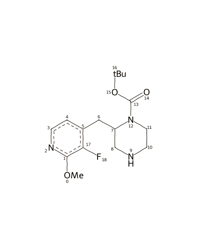 COc1nccc(CC2CNCCN2C(=O)OC(C)(C)C)c1F